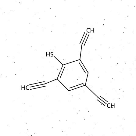 C#Cc1cc(C#C)c(S)c(C#C)c1